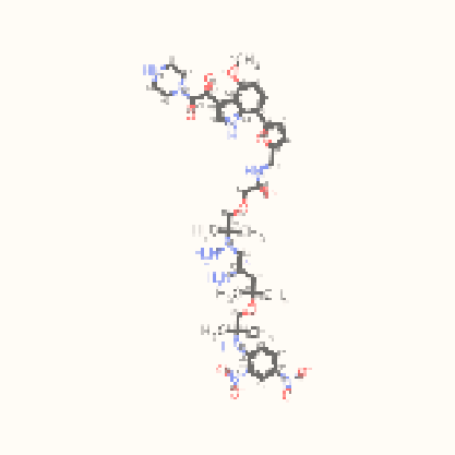 COc1ccc(-c2ccc(CNC(=O)COCC(C)(C)N(N)/C=C(\N)CC(C)(C)OCC(C)(C)Nc3ccc([N+](=O)[O-])cc3[N+](=O)[O-])o2)c2[nH]cc(C(=O)C(=O)N3CCNCC3)c12